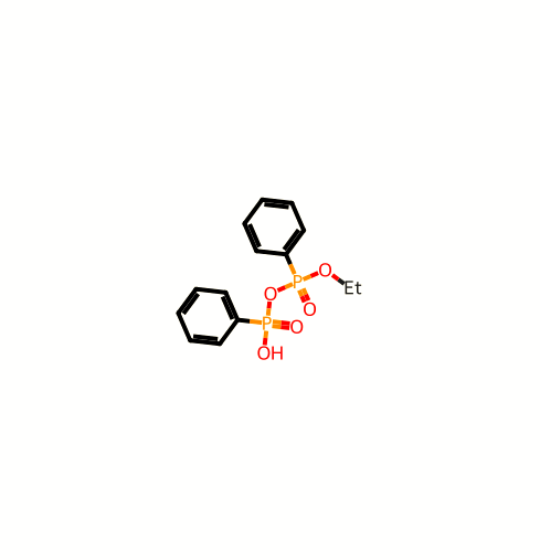 CCOP(=O)(OP(=O)(O)c1ccccc1)c1ccccc1